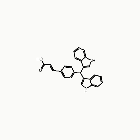 O=C(O)C=Cc1ccc(C(c2c[nH]c3ccccc23)c2c[nH]c3ccccc23)cc1